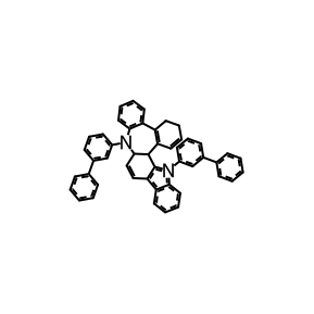 C1=CC2=C(CC1)c1ccccc1N(c1cccc(-c3ccccc3)c1)C1C=Cc3c(n(-c4cccc(-c5ccccc5)c4)c4ccccc34)C21